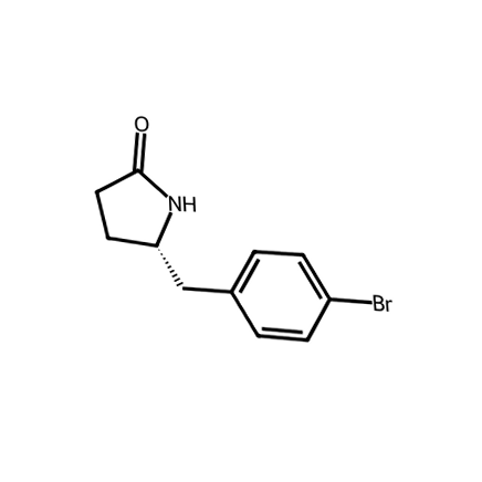 O=C1CC[C@@H](Cc2ccc(Br)cc2)N1